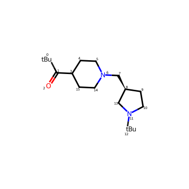 CC(C)(C)C(=O)C1CCN(C[C@H]2CCN(C(C)(C)C)C2)CC1